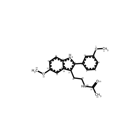 COc1cccc(-c2[nH]c3ccc(OC)cc3c2CCNC(C)=O)c1